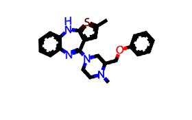 Cc1cc2c(s1)Nc1ccccc1N=C2N1CCN(C)C(COc2ccccc2)C1